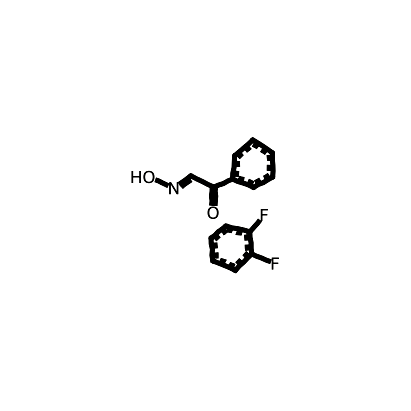 Fc1ccccc1F.O=C(C=NO)c1ccccc1